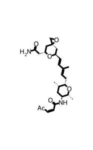 CC(=O)/C=C\C(=O)N[C@@H]1C[C@H](C)[C@H](C/C=C(C)/C=C/[C@@H]2C[C@@]3(CO3)C[C@@H](CC(N)=O)O2)O[C@@H]1C